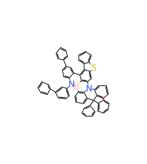 c1ccc(-c2cccc(N3B4c5cccc6c5N(c5ccccc5C6(c5ccccc5)c5ccccc5)c5cc6sc7ccccc7c6c(c54)-c4cc(-c5ccccc5)ccc43)c2)cc1